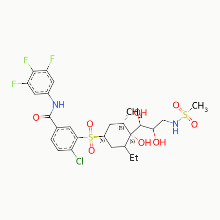 CCC1C[C@@H](S(=O)(=O)c2cc(C(=O)Nc3cc(F)c(F)c(F)c3)ccc2Cl)C[C@H](C)[C@@]1(O)C(O)C(O)CNS(C)(=O)=O